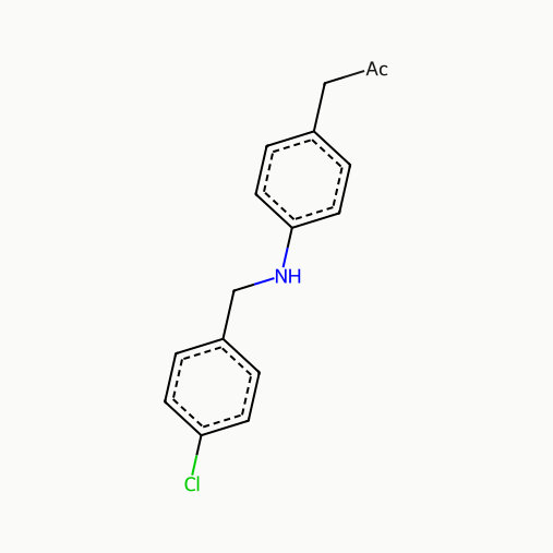 CC(=O)Cc1ccc(NCc2ccc(Cl)cc2)cc1